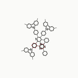 Cc1ccc2c(c1)c1cc(C)ccc1n2-c1ccc(-c2nc(-c3ccc(-n4c5ccc(C)cc5c5cc(C)ccc54)cc3)c(-c3ccccc3C)c(-c3ccccc3-c3nc(-c4ccccc4)nc(-c4ccccc4)n3)c2-c2ccc(-n3c4ccc(C)cc4c4cc(C)ccc43)cc2)cc1